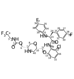 O=C(NCC(F)(F)F)OC[C@@H]1CO[C@H](COc2cccc(Cl)c2NC(=O)[C@H](Cc2ccc(F)cc2)Nc2ccc(F)cc2)CN1